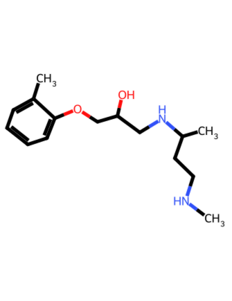 CNCCC(C)NCC(O)COc1ccccc1C